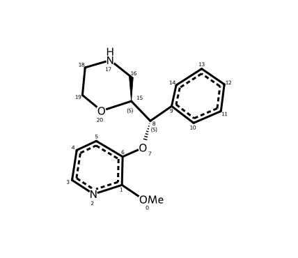 COc1ncccc1O[C@@H](c1ccccc1)[C@@H]1CNCCO1